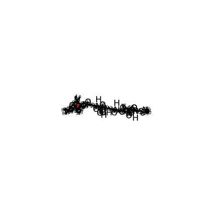 CCN(CC)c1ccc2c(-c3ccccc3C(=O)N3CCN(C(=O)CCCCC(=O)NC(CS(=O)(=O)O)C(=O)NCCCCCC(=O)NCCOc4cc([N+](=O)[O-])c(C(C)OC(=O)NCCSSc5ccccn5)cc4OC)CC3)c3ccc(N(CC)CC)cc3[o+]c2c1